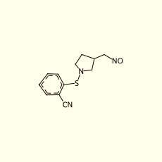 N#Cc1ccccc1SN1CCC(CN=O)C1